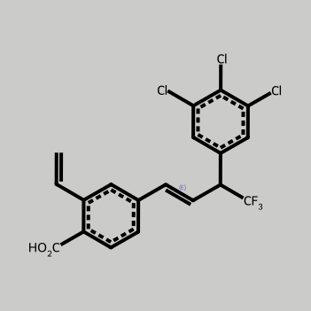 C=Cc1cc(/C=C/C(c2cc(Cl)c(Cl)c(Cl)c2)C(F)(F)F)ccc1C(=O)O